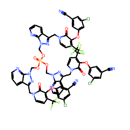 N#Cc1cc(Cl)cc(Oc2c(C(F)(F)F)ccn(Cc3nn(COP(=O)(OCn4nc(Cn5ccc(C(F)(F)F)c(Oc6cc(Cl)cc(C#N)c6)c5=O)c5cccnc54)OCn4nc(Cn5ccc(C(F)(F)F)c(Oc6cc(Cl)cc(C#N)c6)c5=O)c5cccnc54)c4ncccc34)c2=O)c1